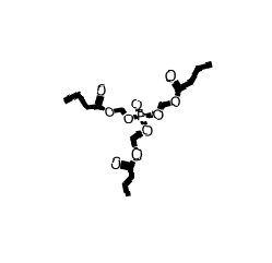 CCCC(=O)OCOP(=O)(OCOC(=O)CCC)OCOC(=O)CCC